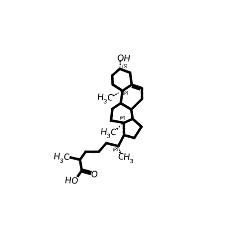 CC(CCC[C@@H](C)C1CCC2C3CC=C4C[C@@H](O)CC[C@]4(C)C3CC[C@@]21C)C(=O)O